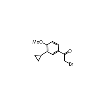 COc1ccc(C(=O)CBr)cc1C1CC1